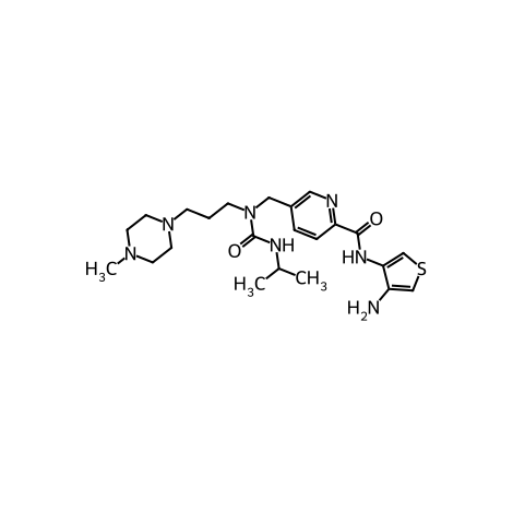 CC(C)NC(=O)N(CCCN1CCN(C)CC1)Cc1ccc(C(=O)Nc2cscc2N)nc1